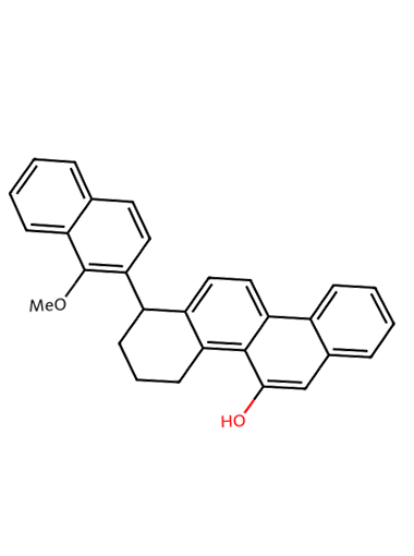 COc1c(C2CCCc3c2ccc2c3c(O)cc3ccccc32)ccc2ccccc12